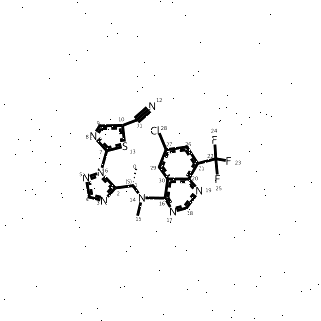 C[C@@H](c1ncnn1-c1ncc(C#N)s1)N(C)c1ncnc2c(C(F)(F)F)cc(Cl)cc12